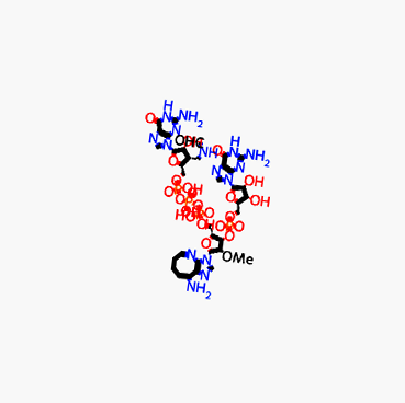 CO[C@@H]1[C@H](OP(=O)(O)OC[C@H]2O[C@@H](n3cnc4c(=O)[nH]c(N)nc43)[C@H](O)[C@@H]2O)[C@@H](COP(=O)(O)OP(=O)(O)OP(=O)(O)OC[C@H]2O[C@@H](n3cnc4c(=O)[nH]c(N)nc43)[C@H](O)[C@@H]2CNC=O)O[C@H]1n1cnc2c1/N=C\CC/C=C\2N